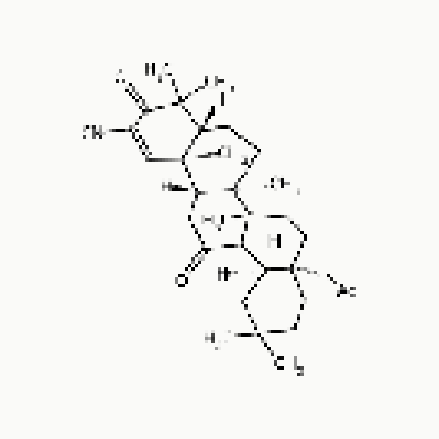 [C-]#[N+]C1=C[C@]2(C)[C@H]3CC(=O)[C@@H]4[C@@H]5CC(C)(C)CC[C@]5(CC(C)=O)CC[C@@]4(C)[C@]3(C)CC[C@H]2C(C)(C)C1=O